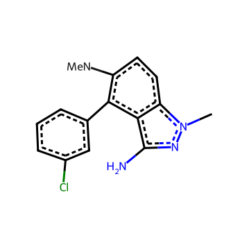 CNc1ccc2c(c(N)nn2C)c1-c1cccc(Cl)c1